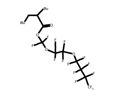 CCC(C)CC(C(=O)OC(F)(F)OC(F)(F)C(F)(F)OC(F)(F)C(F)(F)C(F)(F)C(F)(F)F)C(C)CC